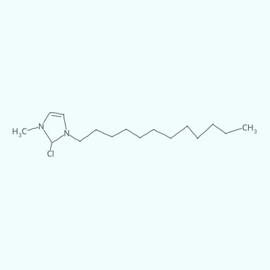 CCCCCCCCCCCCN1C=CN(C)C1Cl